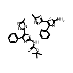 Cc1noc(-c2sc(N)nc2-c2ccccc2)n1.Cc1noc(-c2sc(NC(=O)OC(C)(C)C)nc2-c2ccccc2)n1